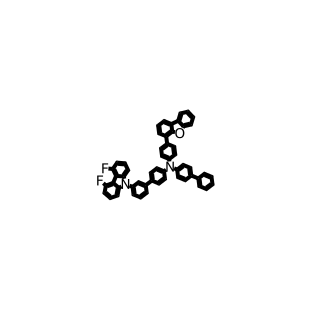 Fc1cccc2c1c1c(F)cccc1n2-c1cccc(-c2ccc(N(c3ccc(-c4ccccc4)cc3)c3ccc(-c4cccc5c4oc4ccccc45)cc3)cc2)c1